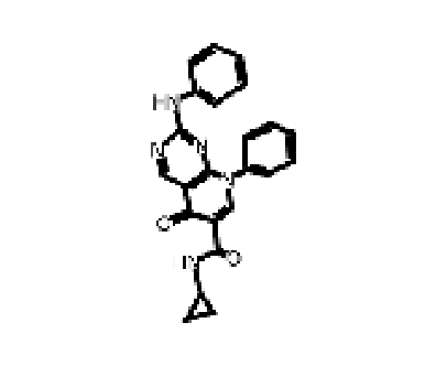 O=C(NC1CC1)c1cn(-c2ccccc2)c2nc(Nc3ccccc3)ncc2c1=O